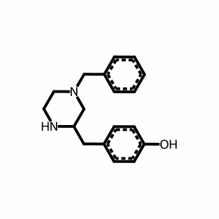 Oc1ccc(CC2CN(Cc3ccccc3)CCN2)cc1